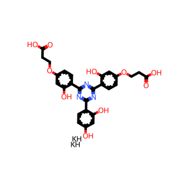 O=C(O)CCOc1ccc(-c2nc(-c3ccc(O)cc3O)nc(-c3ccc(OCCC(=O)O)cc3O)n2)c(O)c1.[KH].[KH]